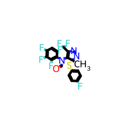 CC1(Sc2ccc(F)cc2)N=NC(C(F)(F)F)=C1N(C=O)c1ccc(F)c(F)c1F